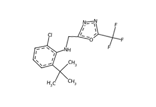 CC(C)(C)c1cccc(Cl)c1NCc1nnc(C(F)(F)F)o1